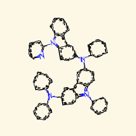 c1ccc(N(c2ccccc2)c2ccc3c(c2)c2cc(N(c4ccccc4)c4ccc5c(c4)c4ccccc4n5-c4ccccn4)ccc2n3-c2ccccc2)cc1